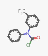 O=C(Cl)N(c1ccccc1)c1cccc(C(F)(F)F)c1